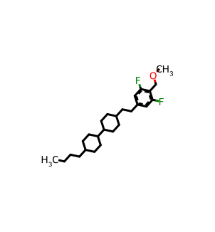 CCCCC1CCC(C2CCC(CCc3cc(F)c(COC)c(F)c3)CC2)CC1